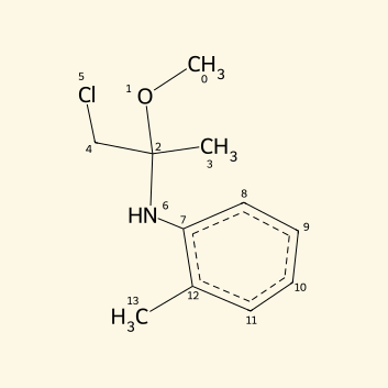 COC(C)(CCl)Nc1ccccc1C